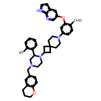 CC(C)c1ccccc1C1CN(Cc2ccc3c(c2)CCCO3)CCN1C1CC2(CCN(c3ccc(C=O)c(Oc4cnc5[nH]ccc5c4)c3)CC2)C1